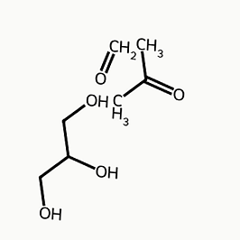 C=O.CC(C)=O.OCC(O)CO